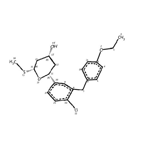 CCOc1ccc(Cc2cc([C@H]3C[C@@H](O)C[C@@H](SC)O3)ccc2Cl)cc1